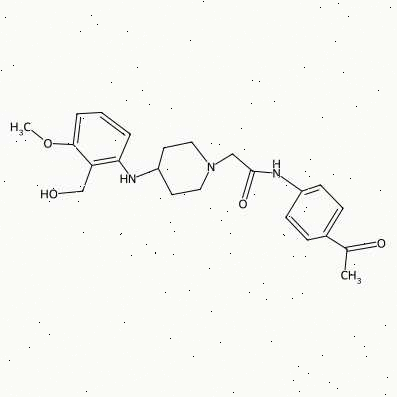 COc1cccc(NC2CCN(CC(=O)Nc3ccc(C(C)=O)cc3)CC2)c1CO